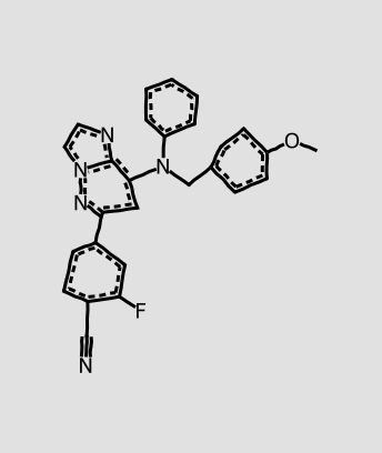 COc1ccc(CN(c2ccccc2)c2cc(-c3ccc(C#N)c(F)c3)nn3ccnc23)cc1